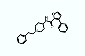 O=C(NC1CCN(CCc2ccccc2)CC1)c1occc1-c1ccccc1